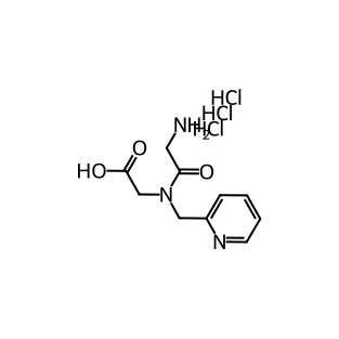 Cl.Cl.Cl.NCC(=O)N(CC(=O)O)Cc1ccccn1